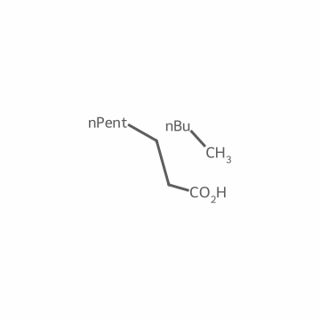 CCCCC.CCCCCCCC(=O)O